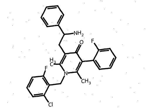 Cc1c(CC(N)c2ccccc2)c(=O)c(-c2ccccc2F)c(C)n1Cc1c(F)cccc1Cl